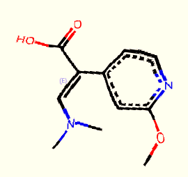 COc1cc(/C(=C\N(C)C)C(=O)O)ccn1